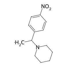 [CH2]C(c1ccc([N+](=O)[O-])cc1)N1CCCCC1